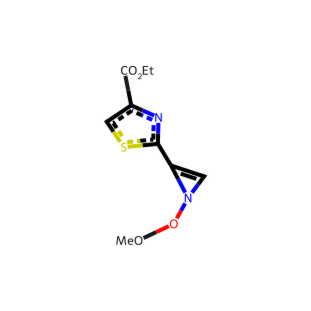 CCOC(=O)c1csc(C2=CN2OOC)n1